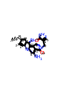 C=C(CN1Cc2c(C(=N)c3cc(OC)ccc3N)ccc(N)c2C1=O)C(N)=O